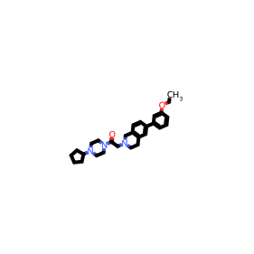 CCOc1cccc(-c2ccc3c(c2)CCN(CC(=O)N2CCN(C4CCCC4)CC2)C3)c1